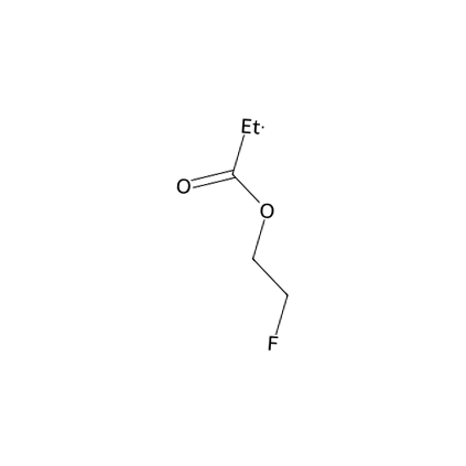 C[CH]C(=O)OCCF